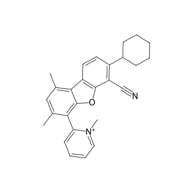 Cc1cc(C)c2c(oc3c(C#N)c(C4CCCCC4)ccc32)c1-c1cccc[n+]1C